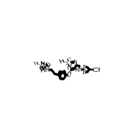 Cc1nc(CNc2ncc(Cl)cn2)cc(Oc2ccc(CCNS(N)(=O)=O)cc2)n1